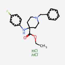 CCOC(=O)C1(Nc2ccc(F)cc2)CCN(Cc2ccccc2)CC1.Cl.Cl